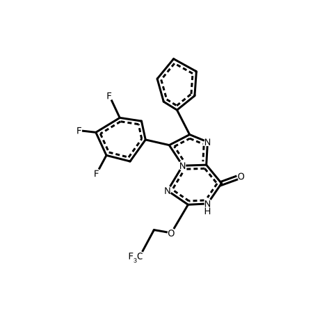 O=c1[nH]c(OCC(F)(F)F)nn2c(-c3cc(F)c(F)c(F)c3)c(-c3ccccc3)nc12